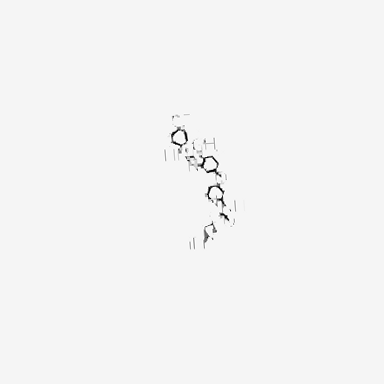 CC(C)N1CC(OC(=O)Nc2cc(Oc3ccc4c(c3)nc(Nc3ccc(C(F)(F)F)cc3)n4C)ccn2)C1